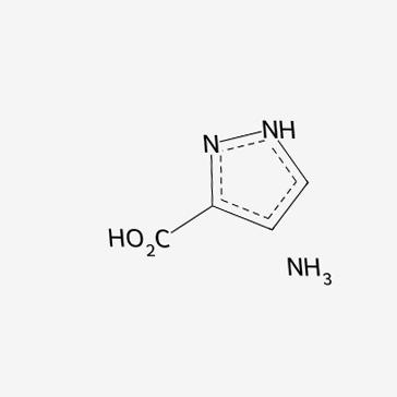 N.O=C(O)c1cc[nH]n1